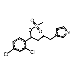 CS(=O)(=O)OC(CCCn1ccnc1)c1ccc(Cl)cc1Cl